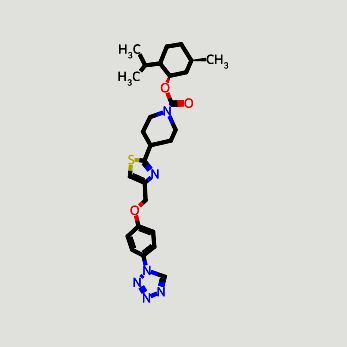 CC(C)C1CC[C@@H](C)C[C@H]1OC(=O)N1CCC(c2nc(COc3ccc(-n4cnnn4)cc3)cs2)CC1